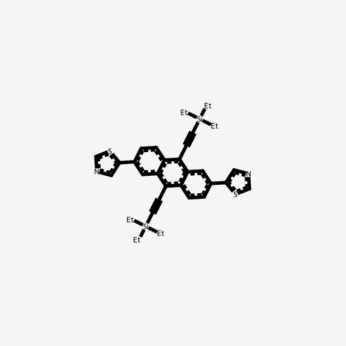 CC[Si](C#Cc1c2ccc(-c3cncs3)cc2c(C#C[Si](CC)(CC)CC)c2ccc(-c3cncs3)cc12)(CC)CC